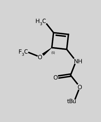 CC1=CC(NC(=O)OC(C)(C)C)[C@H]1OC(F)(F)F